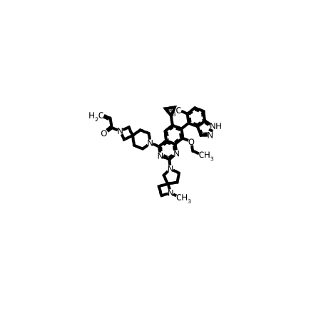 C=CC(=O)N1CC2(CCN(c3nc(N4CCC5(CCN5C)C4)nc4c(OCC)c(-c5c(C)ccc6[nH]ncc56)c(C5CC5)cc34)CC2)C1